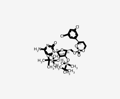 CC(C)(C)[Si](C)(C)O[C@H]1[C@H](O[Si](C)(C)C(C)(C)C)[C@@H](CO[P@]2(=O)OCC[C@H](c3cc(Cl)cc(Cl)c3)O2)O[C@H]1n1ccc(N)nc1=O